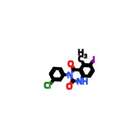 Cc1c(I)ccc2[nH]c(=O)n(-c3cccc(Cl)c3)c(=O)c12